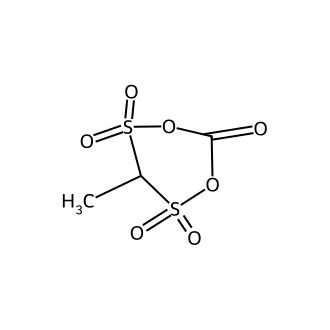 CC1S(=O)(=O)OC(=O)OS1(=O)=O